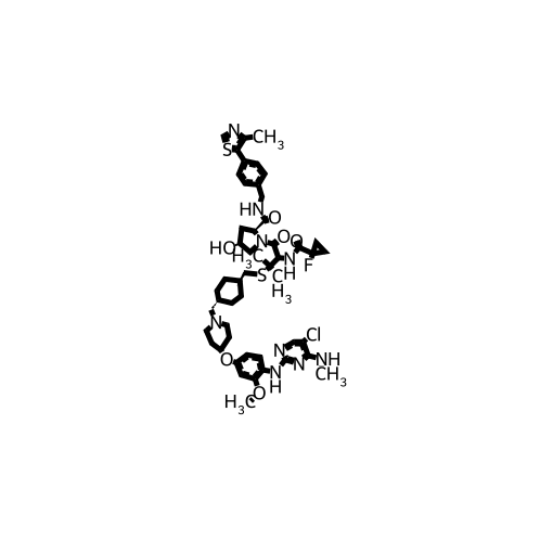 CNc1nc(Nc2ccc(OC3CCN(C[C@H]4CC[C@H](CSC(C)(C)C(NC(=O)C5(F)CC5)C(=O)N5C[C@H](O)C[C@H]5C(=O)NCc5ccc(-c6scnc6C)cc5)CC4)CC3)cc2OC)ncc1Cl